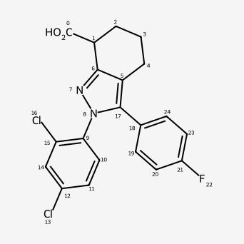 O=C(O)C1CCCc2c1nn(-c1ccc(Cl)cc1Cl)c2-c1ccc(F)cc1